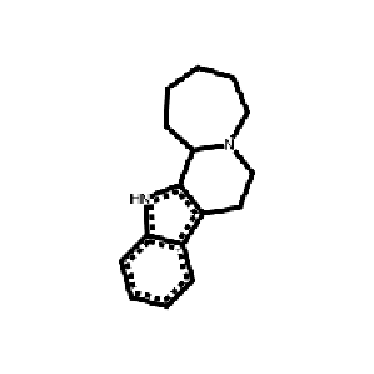 c1ccc2c3c([nH]c2c1)C1CCCCCN1CC3